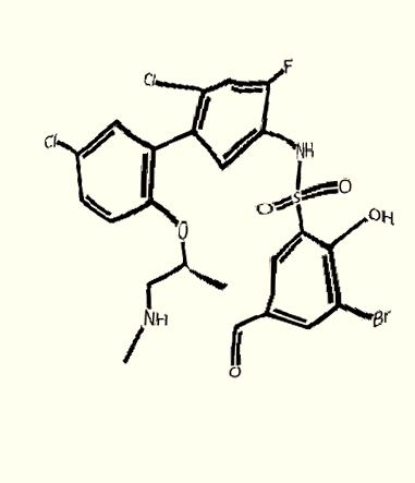 CNC[C@H](C)Oc1ccc(Cl)cc1-c1cc(NS(=O)(=O)c2cc(C=O)cc(Br)c2O)c(F)cc1Cl